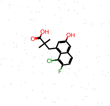 CC(C)(Cc1cc(O)cc2ccc(F)c(Cl)c12)C(=O)O